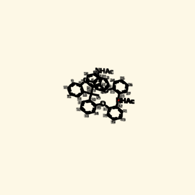 CC(=O)Nc1ccccc1Oc1ccccc1C(C)(c1ccccc1Oc1ccccc1NC(C)=O)c1ccccc1Oc1ccccc1NC(C)=O